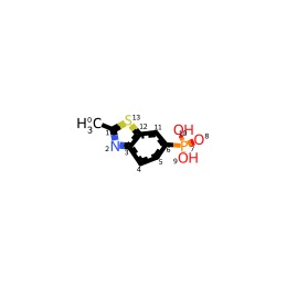 Cc1nc2ccc(P(=O)(O)O)cc2s1